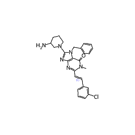 Cn1c(/C=C/c2cccc(Cl)c2)nc2nc(N3CCCC(N)C3)n(Cc3ccccc3)c2c1=O